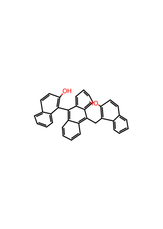 Oc1ccc2ccccc2c1Cc1c2ccccc2c(-c2c(O)ccc3ccccc23)c2ccccc12